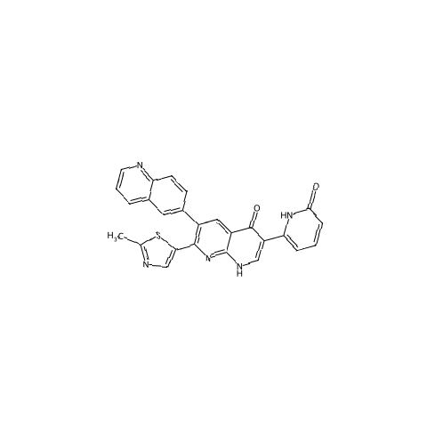 Cc1ncc(-c2nc3[nH]cc(-c4cccc(=O)[nH]4)c(=O)c3cc2-c2ccc3ncccc3c2)s1